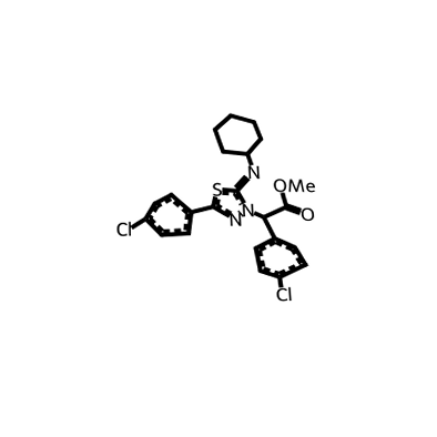 COC(=O)C(c1ccc(Cl)cc1)n1nc(-c2ccc(Cl)cc2)sc1=NC1CCCCC1